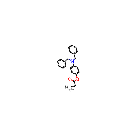 C=CC(=O)Oc1ccc(N(Cc2ccccc2)Cc2ccccc2)cc1